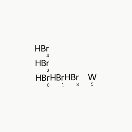 Br.Br.Br.Br.Br.[W]